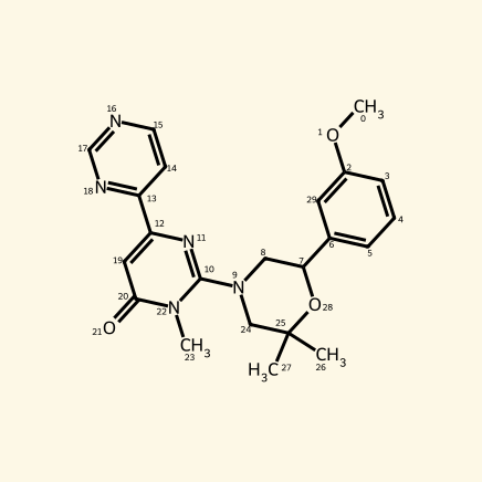 COc1cccc(C2CN(c3nc(-c4ccncn4)cc(=O)n3C)CC(C)(C)O2)c1